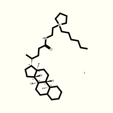 CCCCCC[N+]1(CCNC(=O)CCC(C)[C@H]2CC[C@H]3[C@@H]4CCC5CCCC[C@]5(C)[C@H]4CC[C@]23C)CCCC1.[I-]